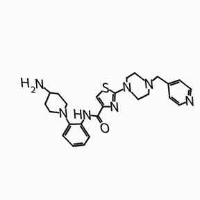 NC1CCN(c2ccccc2NC(=O)c2csc(N3CCN(Cc4ccncc4)CC3)n2)CC1